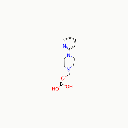 OB(O)OCN1CCN(c2ccccn2)CC1